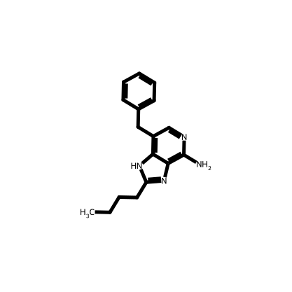 CCCCc1nc2c(N)ncc(Cc3ccccc3)c2[nH]1